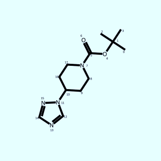 CC(C)(C)OC(=O)N1CCC(n2cncn2)CC1